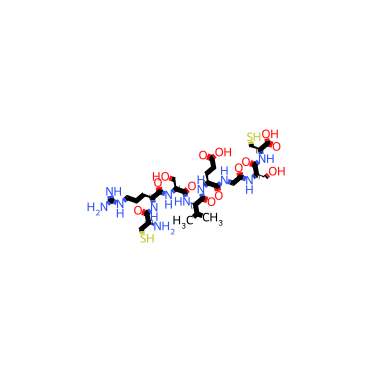 CC(C)[C@H](NC(=O)[C@H](CO)NC(=O)[C@H](CCCNC(=N)N)NC(=O)[C@@H](N)CS)C(=O)N[C@@H](CCC(=O)O)C(=O)NCC(=O)N[C@@H](CO)C(=O)N[C@@H](CS)C(=O)O